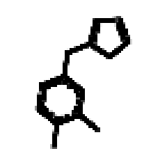 Cc1ccc(CC2=CC=CC2)cc1C